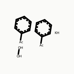 CC(=O)c1ccccc1.CC(=O)c1ccccc1.OO.[KH]